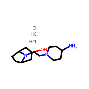 Cl.Cl.Cl.NC1CCN(CCN2C3CCC2CC(O)C3)CC1